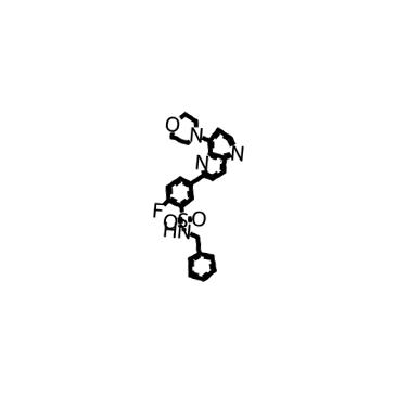 O=S(=O)(NCc1ccccc1)c1cc(-c2ccc3nccc(N4CCOCC4)c3n2)ccc1F